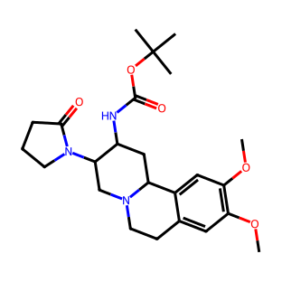 COc1cc2c(cc1OC)C1CC(NC(=O)OC(C)(C)C)C(N3CCCC3=O)CN1CC2